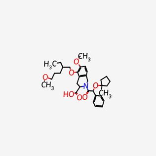 CCC(CCCOC)COc1c(OC)ccc2c1CC(C(=O)O)N(C(=O)C(OC1(C)CCCC1)c1ccccc1)C2